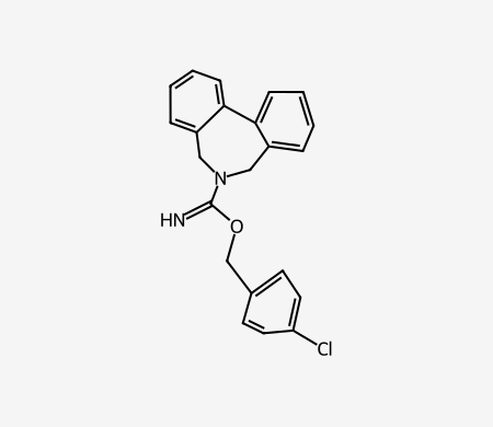 N=C(OCc1ccc(Cl)cc1)N1Cc2ccccc2-c2ccccc2C1